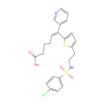 O=C(O)CCCC=C(c1cccnc1)c1ccc(CCNS(=O)(=O)c2ccc(Cl)cc2)s1